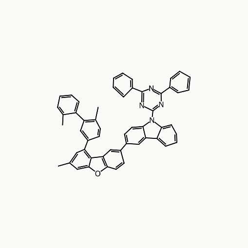 Cc1cc(-c2ccc(C)c(-c3ccccc3C)c2)c2c(c1)oc1ccc(-c3ccc4c(c3)c3ccccc3n4-c3nc(-c4ccccc4)nc(-c4ccccc4)n3)cc12